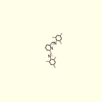 Cc1cc(C)c(/N=C/c2cccc(/C=N/c3c(C)cc(C)cc3C)n2)c(C)c1